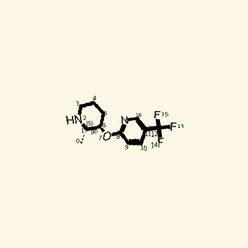 C[C@@H]1NCCC[C@H]1Oc1ccc(C(F)(F)F)cn1